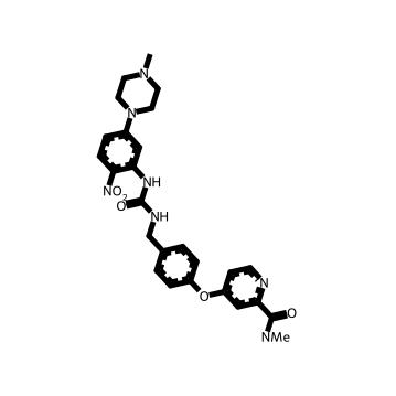 CNC(=O)c1cc(Oc2ccc(CNC(=O)Nc3cc(N4CCN(C)CC4)ccc3[N+](=O)[O-])cc2)ccn1